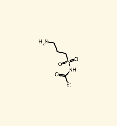 CCC(=O)NS(=O)(=O)CCCN